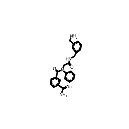 N=C(N)c1cccc(C(=O)N(CC(=O)NCc2cccc(CN)c2)c2ccccc2)c1